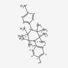 BC1(B)N(c2ccc([N+](=O)[O-])cc2)C(B)(B)C(B)(B)N(c2ncc(F)cn2)C1(B)B